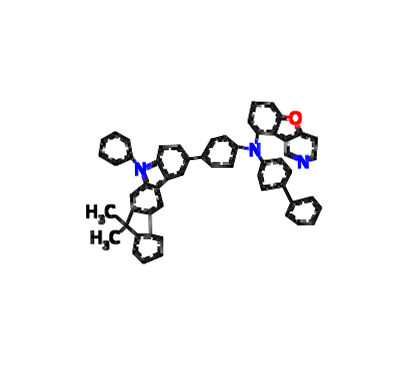 CC1(C)c2ccccc2-c2cc3c4cc(-c5ccc(N(c6ccc(-c7ccccc7)cc6)c6cccc7oc8ccncc8c67)cc5)ccc4n(-c4ccccc4)c3cc21